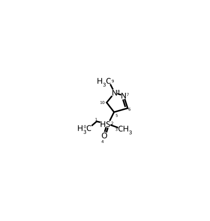 CC[SH](C)(=O)C1C=NN(C)C1